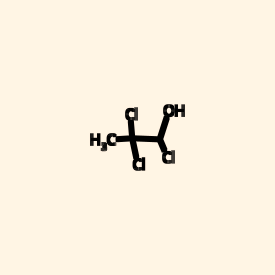 CC(Cl)(Cl)C(O)Cl